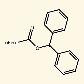 CCCCCC(=O)O[I+](c1ccccc1)c1ccccc1